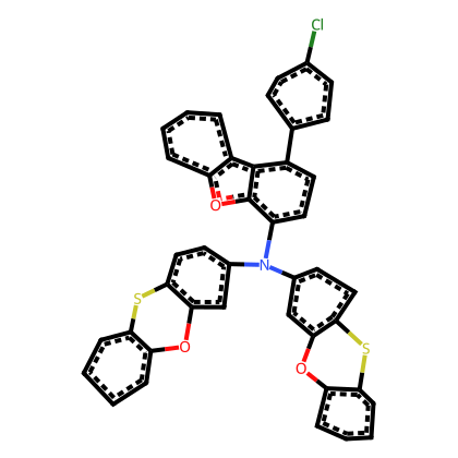 Clc1ccc(-c2ccc(N(c3ccc4c(c3)Oc3ccccc3S4)c3ccc4c(c3)Oc3ccccc3S4)c3oc4ccccc4c23)cc1